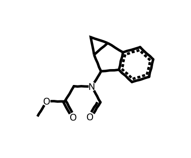 COC(=O)CN(C=O)C1c2ccccc2C2CC21